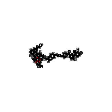 COCOc1cc(-c2ncc3c(N4CCC[C@@](C)(O)C4)nc(OCC4(CN5CCC(CCOCC6CCN(C(=O)c7ccc(Cl)c(N8CCC(=O)NC8=O)c7)CC6)CC5)CC4)nc3c2F)c2c(C#C[Si](C(C)C)(C(C)C)C(C)C)c(F)ccc2c1